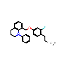 O=C(O)CCc1ccc(OCc2cccc3c2N(c2ccccc2)CCC3)cc1F